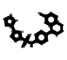 O=S(=O)(Nc1ccc(C2=NCCc3ccc(F)cc32)cc1)c1ccc(-c2ccon2)s1